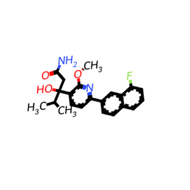 COc1nc(-c2ccc3cccc(F)c3c2)ccc1C(O)(CC(N)=O)C(C)C